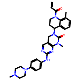 C=CC(=O)N1CC[C@H](N2Cc3cnc(Nc4ccc(N5CCN(C)CC5)cc4)nc3N(C)C2=O)c2cccc(C)c21